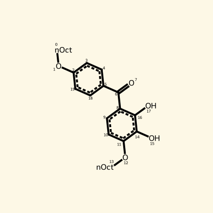 CCCCCCCCOc1ccc(C(=O)c2ccc(OCCCCCCCC)c(O)c2O)cc1